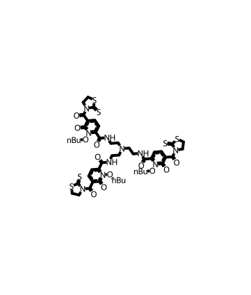 CCCCOn1c(C(=O)NCCN(CCNC(=O)c2ccc(C(=O)N3CCSC3=S)c(=O)n2OCCCC)CCNC(=O)c2ccc(C(=O)N3CCSC3=S)c(=O)n2OCCCC)ccc(C(=O)N2CCSC2=S)c1=O